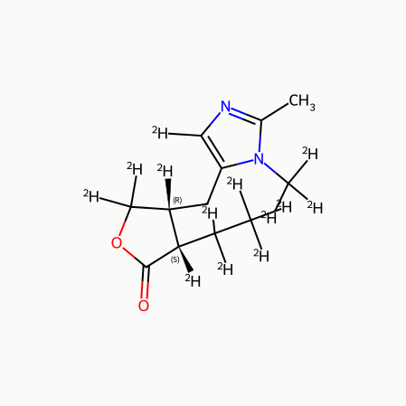 [2H]c1nc(C)n(C([2H])([2H])[2H])c1C[C@@]1([2H])C([2H])([2H])OC(=O)[C@@]1([2H])C([2H])([2H])C([2H])([2H])[2H]